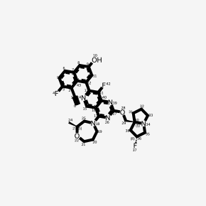 C#Cc1c(F)ccc2cc(O)cc(-c3ncc4c(N5CCCO[C@@H](C)C5)nc(OC[C@@]56CCCN5C[C@H](F)C6)nc4c3F)c12